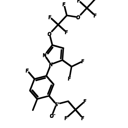 Cc1cc(F)c(-n2nc(OC(F)(F)C(F)OC(F)(F)F)cc2C(F)F)cc1[S+]([O-])CC(F)(F)F